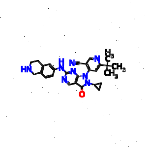 CC(C)(C)c1cc(-n2c3nc(Nc4ccc5c(c4)CCNC5)ncc3c(=O)n2C2CC2)c(C#N)cn1